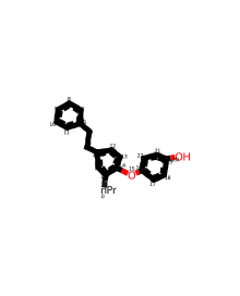 CCCc1cc(CCc2ccccc2)ccc1Oc1ccc(O)cc1